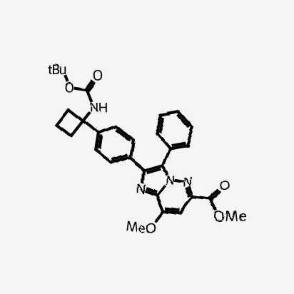 COC(=O)c1cc(OC)c2nc(-c3ccc(C4(NC(=O)OC(C)(C)C)CCC4)cc3)c(-c3ccccc3)n2n1